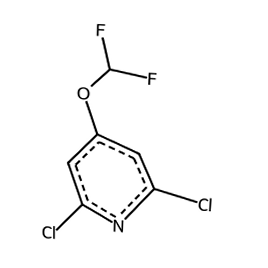 FC(F)Oc1cc(Cl)nc(Cl)c1